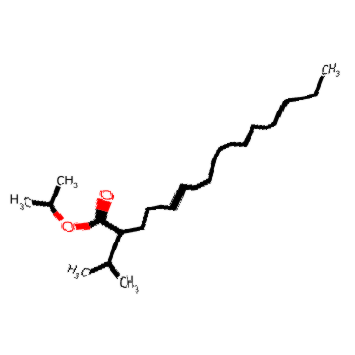 CCCCCCCCCCCCC(C(=O)OC(C)C)C(C)C